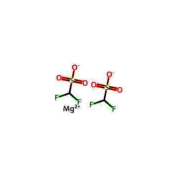 O=S(=O)([O-])C(F)F.O=S(=O)([O-])C(F)F.[Mg+2]